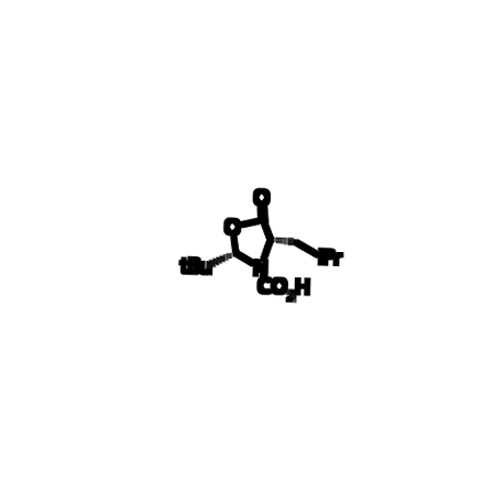 CC(C)C[C@H]1C(=O)O[C@@H](C(C)(C)C)N1C(=O)O